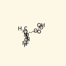 CCOc1nn(-c2ccc(C(F)(F)F)cn2)cc1CCCCOc1ccccc1CC(=O)O